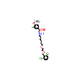 O=COc1ccc([C@@H](O)CNCCCCCCOCCOCc2c(Cl)cccc2Cl)cc1F